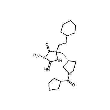 CN1C(=N)N[C@@](CCC2CCCCC2)(C[C@@H]2CCN(C(=O)C3CCCC3)C2)C1=O